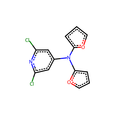 Clc1cc(N(c2ccco2)c2ccco2)cc(Cl)n1